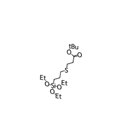 CCO[Si](CCCSCCC(=O)OC(C)(C)C)(OCC)OCC